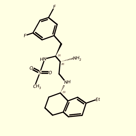 CCc1ccc2c(c1)[C@@H](NC[C@@H](N)[C@H](Cc1cc(F)cc(F)c1)NS(C)(=O)=O)CCC2